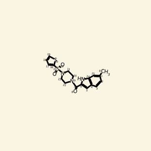 Cc1ccc2cc(C(=O)N3CCN(S(=O)(=O)c4cccs4)CC3)[nH]c2c1